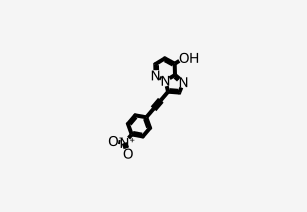 O=[N+]([O-])c1ccc(C#Cc2cnc3c(O)ccnn23)cc1